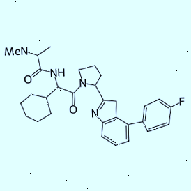 CNC(C)C(=O)NC(C(=O)N1CCCC1C1=Nc2cccc(-c3ccc(F)cc3)c2C1)C1CCCCC1